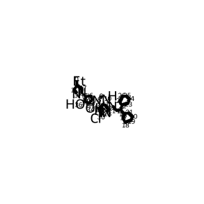 CCc1cnn([C@H]2C[C@@H](n3cnc4c(NCC(c5ccccc5)c5ccccc5)nc(Cl)nc43)[C@H](O)[C@@H]2O)c1